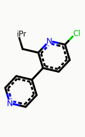 CC(C)Cc1nc(Cl)ccc1-c1ccncc1